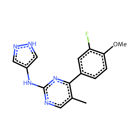 COc1ccc(-c2nc(Nc3cn[nH]c3)ncc2C)cc1F